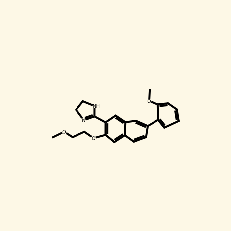 COCCOc1cc2ccc(-c3ccccc3OC)cc2cc1C1=NCCN1